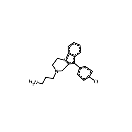 NCCCN1CCn2c(c(-c3ccc(Cl)cc3)c3ccccc32)C1